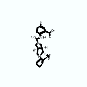 O=C(O)c1cc(F)ccc1NC(O)N1C[C@H]2CN(c3ccccc3C(F)(F)F)C[C@H]2C1